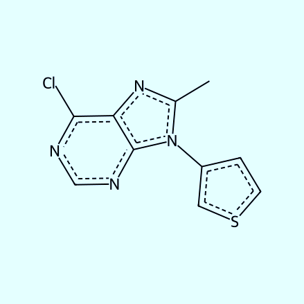 Cc1nc2c(Cl)ncnc2n1-c1ccsc1